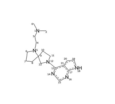 CN(C)CCN1CCCC12CCN(c1ncnc3[nH]ccc13)C2